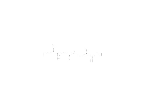 CNC(=O)CNC(=O)CNC(C)=O